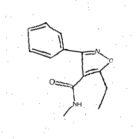 CCc1onc(-c2ccccc2)c1C(=O)NC